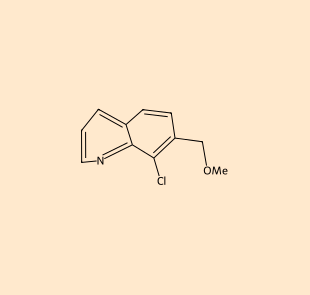 COCc1ccc2cccnc2c1Cl